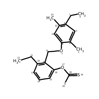 CCc1cc(C)c(OCc2c(CC)cccc2OC(=S)I)cc1C